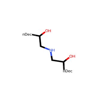 CCCCCCCCCCC(O)CNCC(O)CCCCCCCCCC